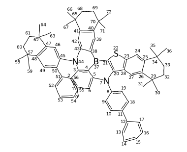 Cc1cc2c3c(c1)N(c1ccc(-c4ccccc4)cc1)c1c(sc4cc5c(cc14)C(C)(C)CCC5(C)C)B3c1cc3c(cc1N2c1cc2c(cc1-c1ccccc1)C(C)(C)CCC2(C)C)C(C)(C)CCC3(C)C